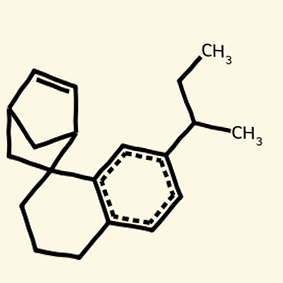 CCC(C)c1ccc2c(c1)C1(CCC2)CC2C=CC1C2